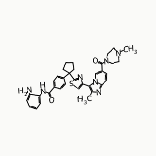 Cc1nc2ccc(C(=O)N3CCN(C)CC3)cn2c1-c1csc(C2(c3ccc(C(=O)Nc4ccccc4N)cc3)CCCC2)n1